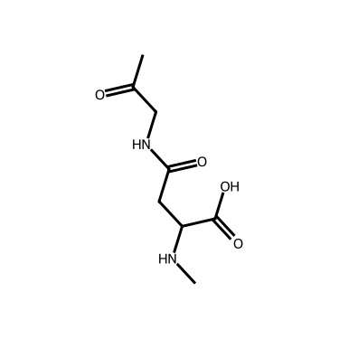 CNC(CC(=O)NCC(C)=O)C(=O)O